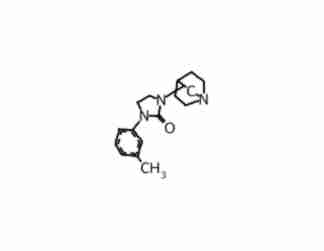 Cc1cccc(N2CCN(C3CN4CCC3CC4)C2=O)c1